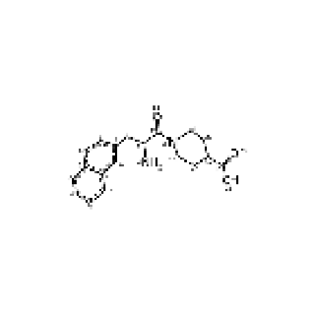 N[C@@H](Cc1ccc2ccccc2c1)C(=O)N1CCC(C(=O)O)CC1